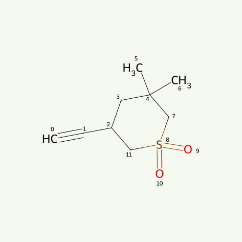 C#CC1CC(C)(C)CS(=O)(=O)C1